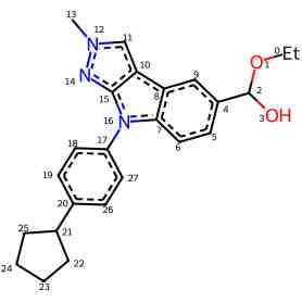 CCOC(O)c1ccc2c(c1)c1cn(C)nc1n2-c1ccc(C2CCCC2)cc1